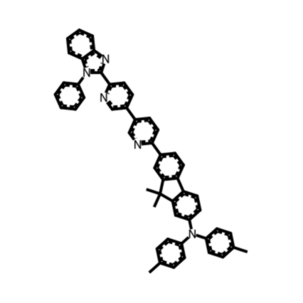 Cc1ccc(N(c2ccc(C)cc2)c2ccc3c(c2)C(C)(C)c2cc(-c4ccc(-c5ccc(-c6nc7ccccc7n6-c6ccccc6)nc5)cn4)ccc2-3)cc1